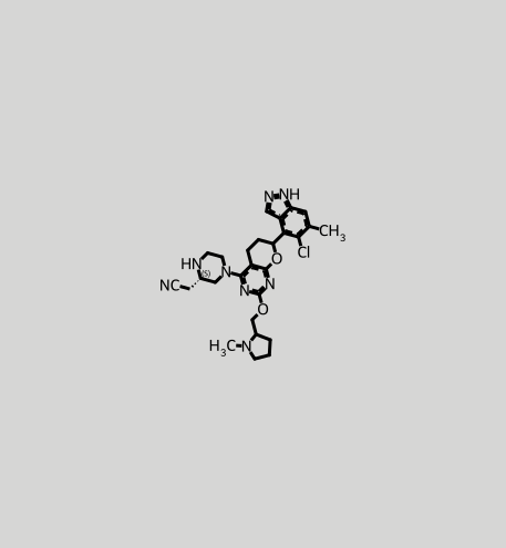 Cc1cc2[nH]ncc2c(C2CCc3c(nc(OCC4CCCN4C)nc3N3CCN[C@@H](CC#N)C3)O2)c1Cl